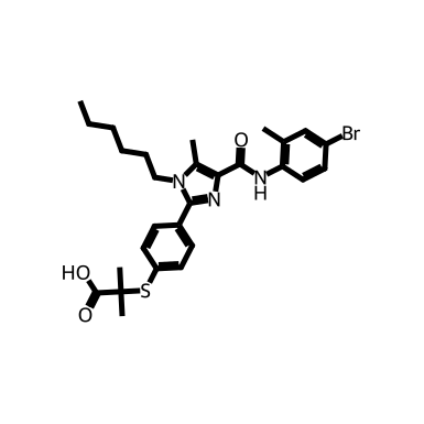 CCCCCCn1c(-c2ccc(SC(C)(C)C(=O)O)cc2)nc(C(=O)Nc2ccc(Br)cc2C)c1C